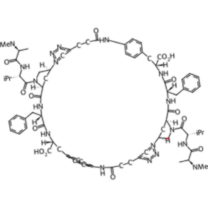 CN[C@@H](C)C(=O)N[C@H](C(=O)N1C[C@@H]2C[C@H]1C(=O)N[C@@H](Cc1ccccc1)C(=O)N[C@@H](C(=O)O)Cc1ccc(cc1)NC(=O)CCc1cn(nn1)[C@H]1C[C@@H](C(=O)N[C@@H](Cc3ccccc3)C(=O)N[C@@H](C(=O)O)Cc3ccc(cc3)NC(=O)CCc3cn2nn3)N(C(=O)[C@@H](NC(=O)[C@H](C)NC)C(C)C)C1)C(C)C